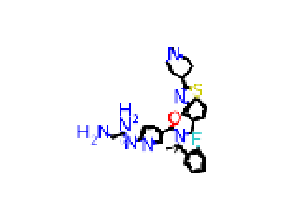 C[C@H](c1ccccc1F)N(Cc1ccc2sc(C3CCN(C)CC3)nc2c1)C(=O)c1ccc(/N=C(\N)CN)nc1